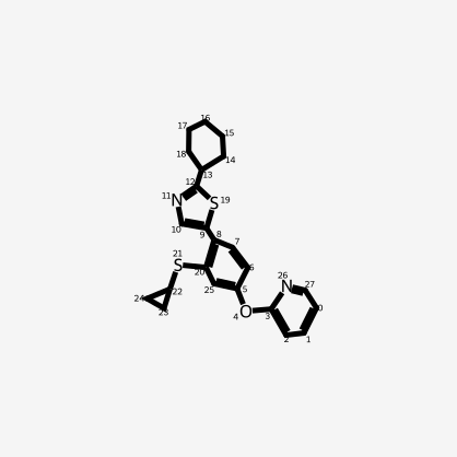 c1ccc(Oc2ccc(-c3cnc(C4CCCCC4)s3)c(SC3CC3)c2)nc1